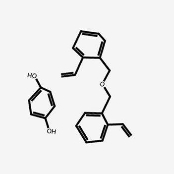 C=Cc1ccccc1COCc1ccccc1C=C.Oc1ccc(O)cc1